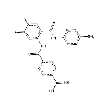 Bc1ccc(NC(=O)c2cc(F)c(F)cc2NC(=O)c2ccc(C(=N)N)cc2)nc1